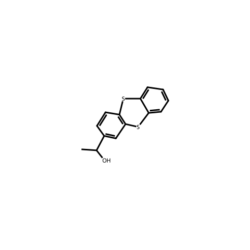 CC(O)c1ccc2c(c1)Sc1ccccc1S2